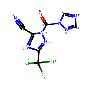 N#Cc1nc(C(Cl)(Cl)Cl)nn1C(=O)n1cncn1